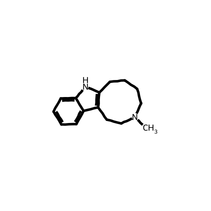 CN1CCCCc2[nH]c3ccccc3c2CC1